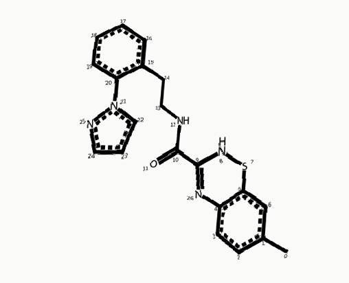 Cc1ccc2c(c1)SNC(C(=O)NCCc1ccccc1-n1cccn1)=N2